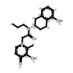 CCCN(C(=O)Cn1ccc(=O)c(O)c1C)[C@H]1CCc2c(O)cccc2C1